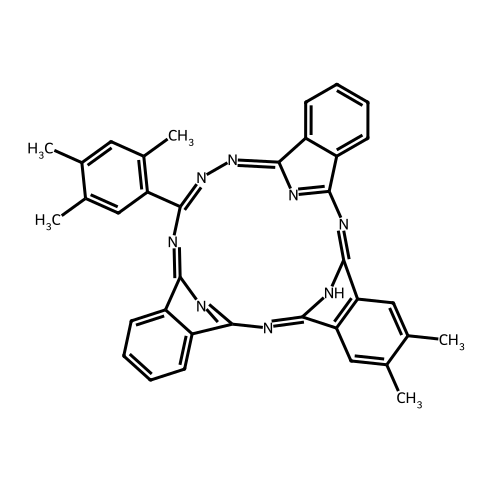 Cc1cc(C)c(C2=N/N=C3N=C(/N=c4\[nH]/c(c5cc(C)c(C)cc45)=N\C4=NC(=N\2)/c2ccccc24)c2ccccc2\3)cc1C